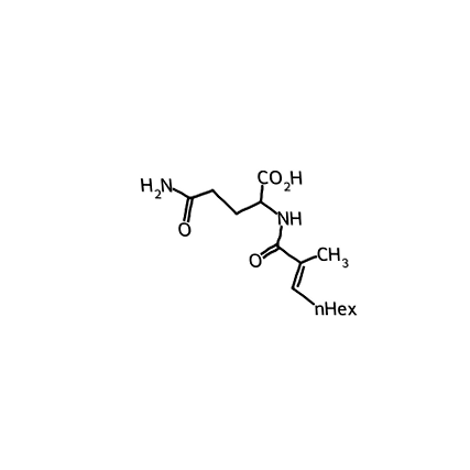 CCCCCC/C=C(\C)C(=O)NC(CCC(N)=O)C(=O)O